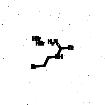 Br.Br.CCC(N)NCCBr